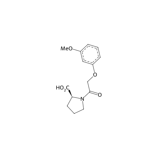 COc1cccc(OCC(=O)N2CCC[C@H]2C(=O)O)c1